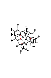 FC1=C(F)[C](F)([Al-]([C]2(F)C(F)=C(F)c3c2ccc(F)c3F)([C]2(F)C(F)=C(F)c3c2ccc(F)c3F)[C]2(F)C(F)=C(F)c3c2ccc(F)c3F)c2ccc(F)c(F)c21